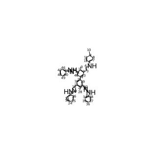 Cc1c(/C=C/NC2=CCC(C)C=C2)cc(-c2cc(/C=N/Nc3ccccc3)c(C)c(/C=N/Nc3ccccc3)c2)cc1/C=N/Nc1ccccc1